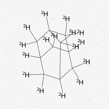 [2H]C1([2H])C2([2H])C([2H])([2H])C3([2H])C([2H])([2H])C1([2H])C([2H])([2H])C([2H])(C2([2H])[2H])C3([2H])[2H]